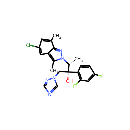 Cc1cc(Cl)cc2c(C)n([C@H](C)[C@](O)(Cn3cncn3)c3ccc(F)cc3F)nc12